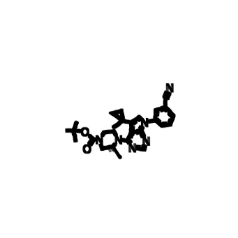 C[C@H]1CN(C(=O)OC(C)(C)C)CCN1c1ncnc2c1c(C1(C)CC1)cn2-c1cccc(C#N)c1